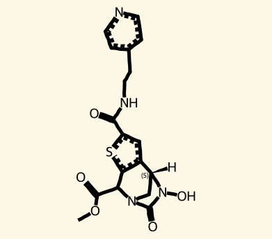 COC(=O)C1c2sc(C(=O)NCCc3ccncc3)cc2[C@H]2CN1C(=O)N2O